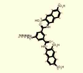 Nc1cc(C(=O)Nc2cc3ccc(S(=O)(=O)O)cc3cc2S(=O)(=O)O)cc(C(=O)Nc2cc3ccc(S(=O)(=O)O)cc3cc2S(=O)(=O)O)c1.[Na].[Na].[Na].[Na]